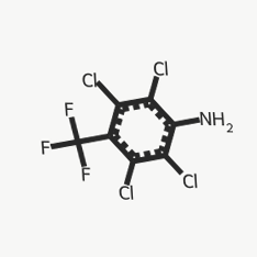 Nc1c(Cl)c(Cl)c(C(F)(F)F)c(Cl)c1Cl